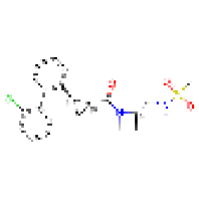 CS(=O)(=O)NC[C@@H]1CCN1C(=O)[C@@H]1C[C@H]1c1ccccc1-c1ccccc1Cl